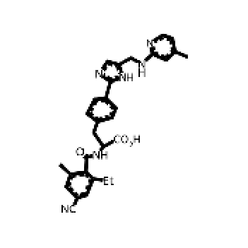 CCc1cc(C#N)cc(C)c1C(=O)NC(Cc1ccc(-c2ncc(CNc3cc(C)ccn3)[nH]2)cc1)C(=O)O